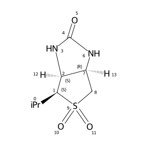 CC(C)[C@H]1[C@H]2NC(=O)N[C@H]2CS1(=O)=O